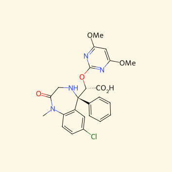 COc1cc(OC)nc(O[C@H](C(=O)O)[C@@]2(c3ccccc3)NCC(=O)N(C)c3ccc(Cl)cc32)n1